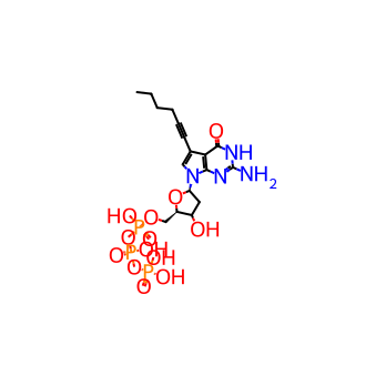 CCCCC#Cc1cn([C@H]2CC(O)[C@@H](COP(=O)(O)OP(=O)(O)OP(=O)(O)O)O2)c2nc(N)[nH]c(=O)c12